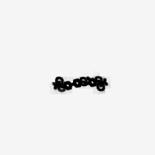 C=C(C)C(=O)Oc1ccc(-c2ccc(OCc3ccc(OC(=O)C(=C)C)cc3C)cc2)cc1